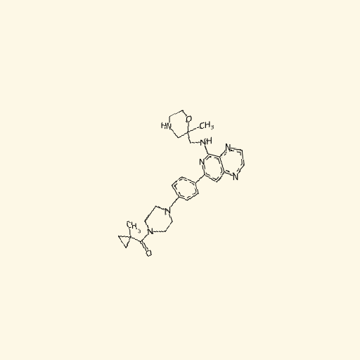 CC1(CNc2nc(-c3ccc(N4CCN(C(=O)C5(C)CC5)CC4)cc3)cc3nccnc23)CNCCO1